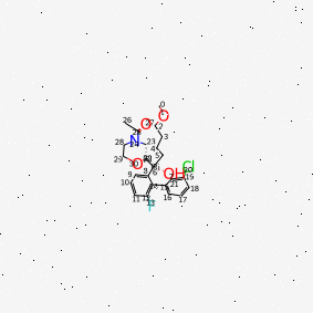 COCCCC[C@@](O)(c1cccc(F)c1-c1cccc(Cl)c1)[C@H]1CN(C(C)=O)CCO1